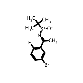 CC(=N[S@+]([O-])C(C)(C)C)c1cc(Br)ccc1F